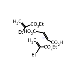 C=C(CC)C(=O)OCC.C=C(CC)C(=O)OCC.O=C(O)/C=C/C(=O)O